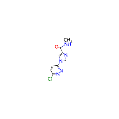 CNC(=O)c1cn(-c2ccc(Cl)nn2)cn1